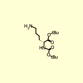 CC(C)(C)OC(=O)N[C@H](CCCCN)C(=O)OC(C)(C)C